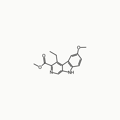 CCc1c(C(=O)OC)ncc2[nH]c3ccc(OC)cc3c12